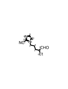 CCC(C=O)CCCn1ncnc1C#N